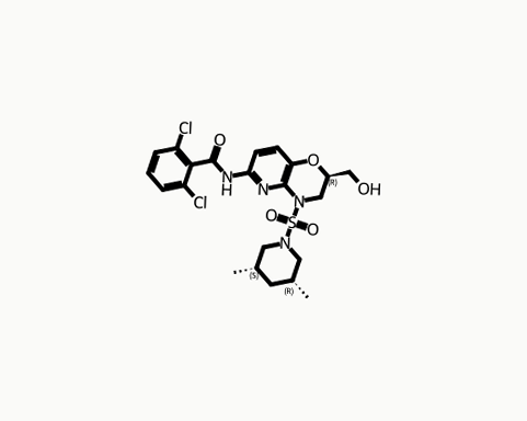 C[C@@H]1C[C@H](C)CN(S(=O)(=O)N2C[C@H](CO)Oc3ccc(NC(=O)c4c(Cl)cccc4Cl)nc32)C1